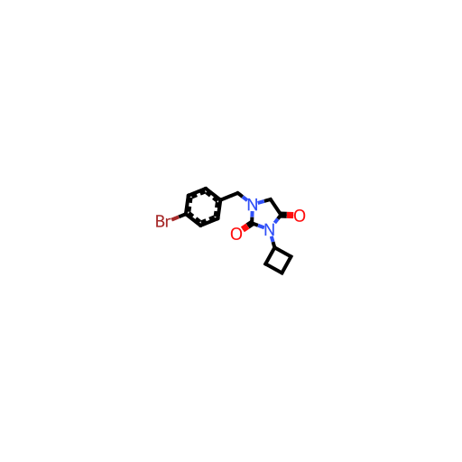 O=C1CN(Cc2ccc(Br)cc2)C(=O)N1C1CCC1